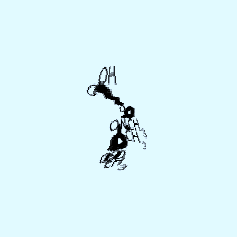 CC(C)N(Cc1ccccc1OCCCCCC(=O)O)C(=O)c1ccc(S(C)(=O)=O)cc1